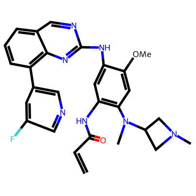 C=CC(=O)Nc1cc(Nc2ncc3cccc(-c4cncc(F)c4)c3n2)c(OC)cc1N(C)C1CN(C)C1